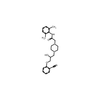 Cc1cccc(C)c1NC(=O)CN1CCN(CC(O)COc2ccccc2C#N)CC1